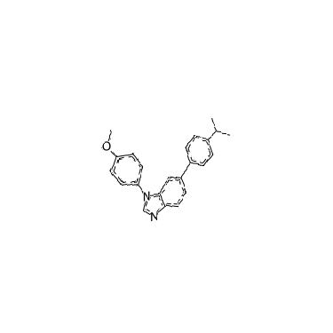 COc1ccc(-n2cnc3ccc(-c4ccc(C(C)C)cc4)cc32)cc1